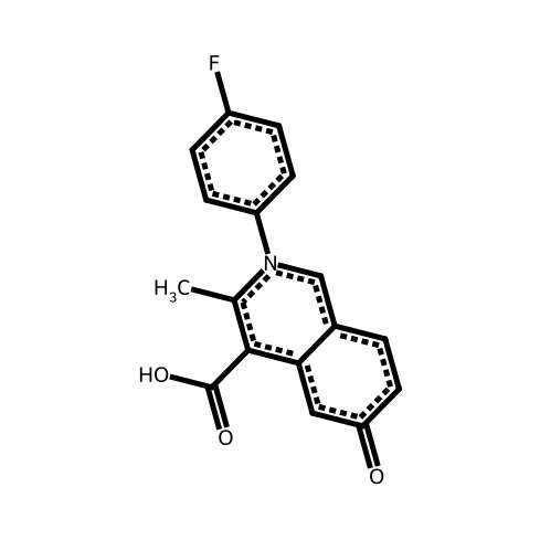 Cc1c(C(=O)O)c2cc(=O)ccc-2cn1-c1ccc(F)cc1